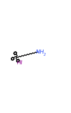 I.NCCCCCCCCCCCCCCCC(Cc1ccccc1)(Cc1ccccc1)Cc1ccccc1